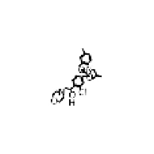 Cc1ccc(N(CC(C)C)S(=O)(=O)c2ccc(C(O)CN3CCOCC3)c(Cl)c2)c(C)c1